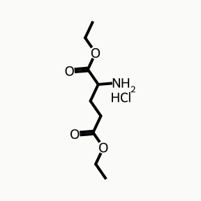 CCOC(=O)CCC(N)C(=O)OCC.Cl